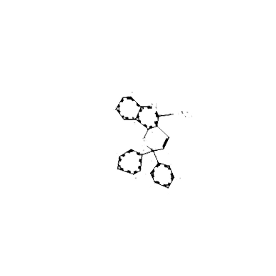 COc1nc2ccccc2c2c1C=CC(c1ccccc1)(c1ccccc1)O2